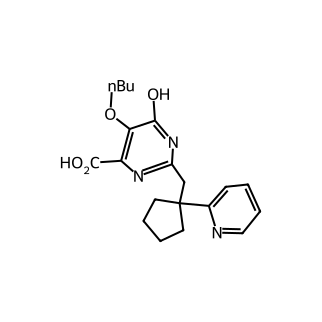 CCCCOc1c(O)nc(CC2(c3ccccn3)CCCC2)nc1C(=O)O